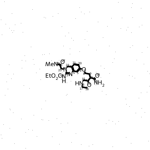 CCOC(=O)NC1=Nc2cc(OCCC(C(N)=O)C3CNCCO3)ccc2CN1CC(=O)NC